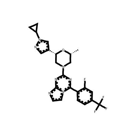 C[C@@H]1CN(c2nc(-c3ccc(C(F)(F)F)cc3F)n3ccnc3n2)C[C@H](c2cnn(C3CC3)c2)O1